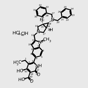 CCc1c(-c2ccc3c(c2)cc(CN2C[C@@H]4[C@H](C2)[C@H]4N(Cc2ccccc2)Cc2ccccc2)n3C)[nH]c(=O)c(C(=O)O)c1O.Cl.Cl